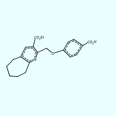 CCOC(=O)c1cc2c(nc1COc1ccc(C(=O)O)cc1)CCCCC2